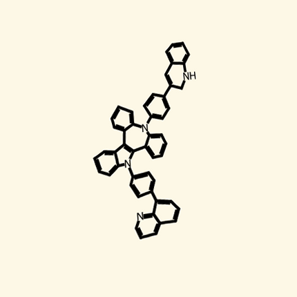 C1=C(c2ccc(N3c4ccccc4-c4c(n(-c5ccc(-c6cccc7cccnc67)cc5)c5ccccc45)-c4ccccc43)cc2)CNc2ccccc21